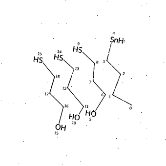 CCC[CH2][SnH].OCCCS.OCCCS.OCCCS